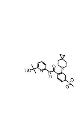 CC(C)(O)c1cccc(NC(=O)c2ccc(S(C)(=O)=O)cc2N2CCC3(CC2)CC3)n1